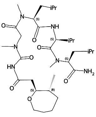 CC(C)C[C@@H](C(=O)N[C@H](C(=O)N(C)[C@@H](CC(C)C)C(N)=O)C(C)C)N(C)C(=O)CN(C)C(=O)NC(=O)C[C@@H]1OCCCC[C@H]1C